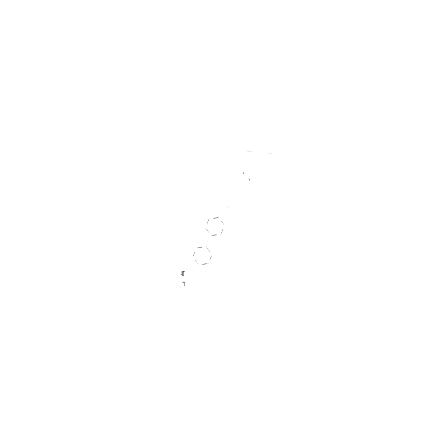 O=S(=O)(Oc1ccc(-c2ccc(OCC3CCN(CC4(C(F)(F)F)CCC4)CC3)cc2)cc1)C(F)(F)F